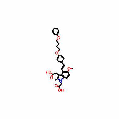 COc1ccc2c(c1C=Cc1ccc(OCCCCOc3ccccc3)cc1)c(CC(=O)O)c(C)n2CC(=O)O